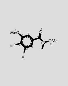 COc1cc(C(=O)N(C)OC)cc(F)c1F